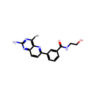 CCCc1nc(N)nc2ccc(-c3cccc(C(=O)NCCO)c3)nc12